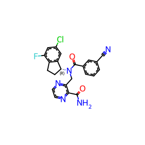 N#Cc1cccc(C(=O)N(Cc2nccnc2C(N)=O)[C@@H]2CCc3c(F)cc(Cl)cc32)c1